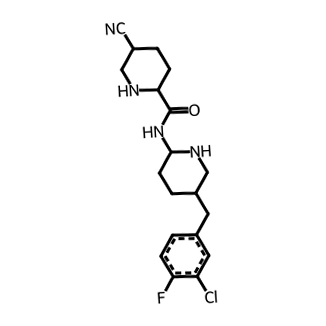 N#CC1CCC(C(=O)NC2CCC(Cc3ccc(F)c(Cl)c3)CN2)NC1